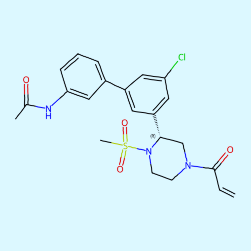 C=CC(=O)N1CCN(S(C)(=O)=O)[C@H](c2cc(Cl)cc(-c3cccc(NC(C)=O)c3)c2)C1